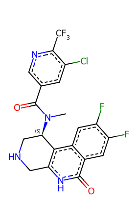 CN(C(=O)c1cnc(C(F)(F)F)c(Cl)c1)[C@@H]1CNCc2[nH]c(=O)c3cc(F)c(F)cc3c21